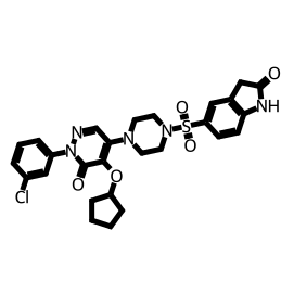 O=C1Cc2cc(S(=O)(=O)N3CCN(c4cnn(-c5cccc(Cl)c5)c(=O)c4OC4CCCC4)CC3)ccc2N1